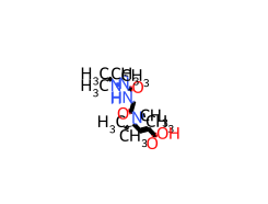 C/C(=C\[C@H](C(C)C)N(C)C(=O)CNC(=O)N(C)NC(C)(C)C)C(=O)O